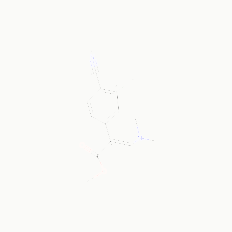 COC(=O)/C(=C/N(C)C)c1ccc(C#N)c(F)c1